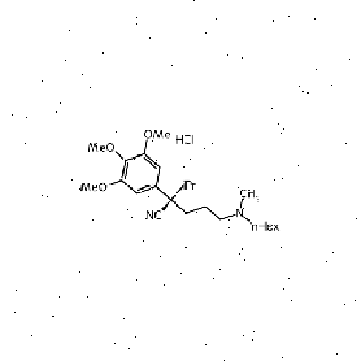 CCCCCCN(C)CCC[C@](C#N)(c1cc(OC)c(OC)c(OC)c1)C(C)C.Cl